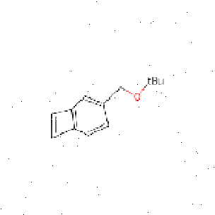 CC(C)(C)OCc1ccc2c(c1)C=C2